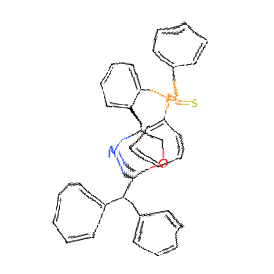 S=P(c1ccccc1)(c1ccccc1)c1ccccc1[C@H]1COC(C(c2ccccc2)c2ccccc2)=N1